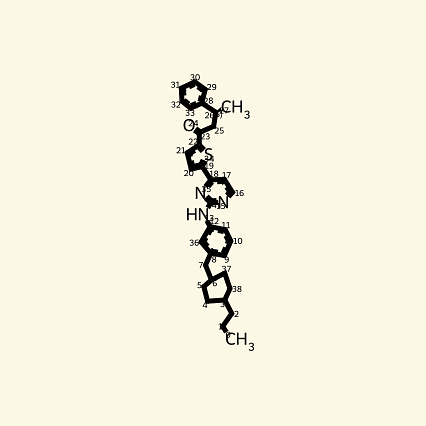 CCCC1CCC(Cc2cccc(Nc3nccc(-c4ccc(C(=O)C[C@H](C)c5ccccc5)s4)n3)c2)CC1